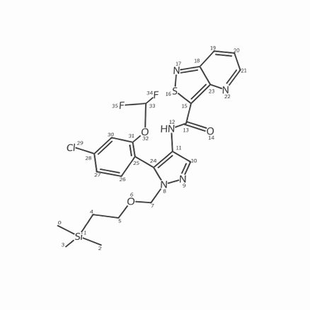 C[Si](C)(C)CCOCn1ncc(NC(=O)c2snc3cccnc23)c1-c1ccc(Cl)cc1OC(F)F